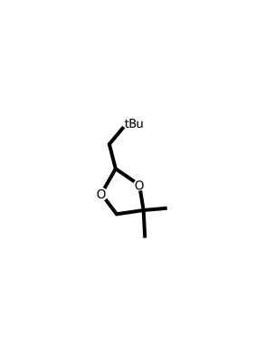 CC(C)(C)CC1OCC(C)(C)O1